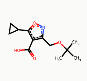 CC(C)(C)OCc1noc(C2CC2)c1C(=O)O